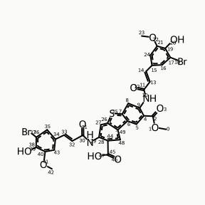 COC(=O)c1cc2c(cc1NC(=O)C=Cc1cc(Br)c(O)c(OC)c1)sc1cc(NC(=O)C=Cc3cc(Br)c(O)c(OC)c3)c(C(=O)O)cc12